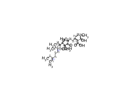 C/C=C(\CC)CC/C=C(\CC)C(O)[C@@H](CC)C(=O)[C@H](C)[C@@H](O)[C@H](C)CCc1ccc(C)c(O)c1C(=O)O